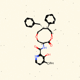 COc1ccnc(C(=O)N[C@H]2COC[C@H](Cc3ccccc3)[C@@H](c3ccccc3)[C@H](C)OC2=O)c1O